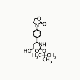 CC(C)(C)OC(=O)NC(CCO)c1ccc(N2CCOC2=O)cc1